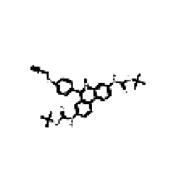 C#CCOc1ccc(-c2c3cc(NC(=O)OC(C)(C)C)ccc3c3ccc(NC(=O)OC(C)(C)C)cc3[n+]2C)cc1